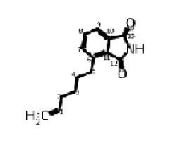 C=CCCCCc1cccc2c1C(=O)NC2=O